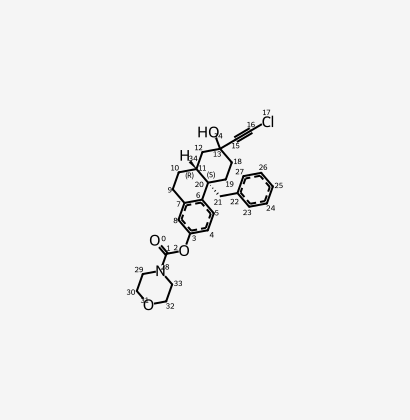 O=C(Oc1ccc2c(c1)CC[C@@H]1CC(O)(C#CCl)CC[C@@]21Cc1ccccc1)N1CCOCC1